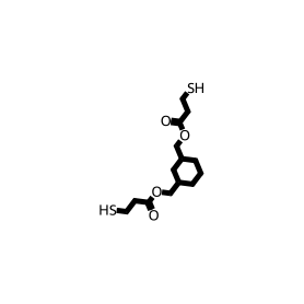 O=C(CCS)OCC1CCCC(COC(=O)CCS)C1